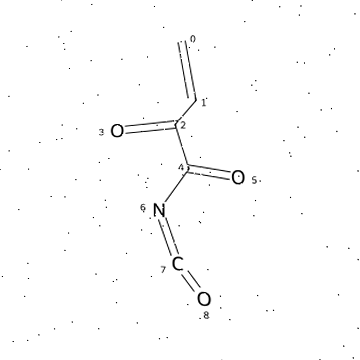 C=CC(=O)C(=O)N=C=O